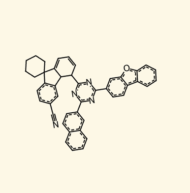 N#Cc1ccc2c(c1)C1C(=CC=CC1c1nc(-c3ccc4ccccc4c3)nc(-c3ccc4c(c3)oc3ccccc34)n1)C21CCCCC1